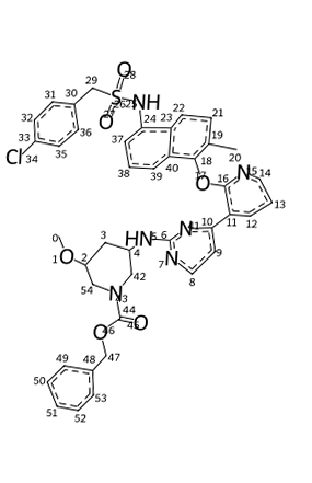 COC1CC(Nc2nccc(-c3cccnc3Oc3c(C)ccc4c(NS(=O)(=O)Cc5ccc(Cl)cc5)cccc34)n2)CN(C(=O)OCc2ccccc2)C1